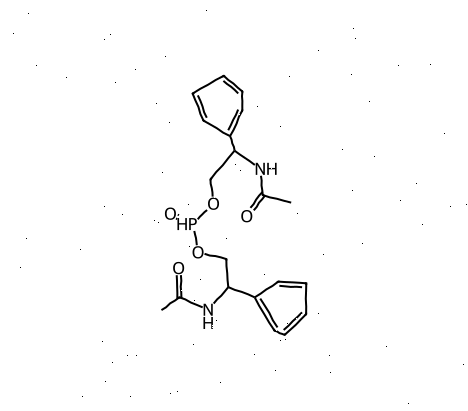 CC(=O)NC(CO[PH](=O)OCC(NC(C)=O)c1ccccc1)c1ccccc1